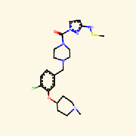 CSNc1ccn(C(=O)N2CCN(Cc3ccc(Cl)c(OC4CCN(C)CC4)c3)CC2)n1